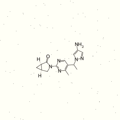 Cc1nc(N2C[C@H]3C[C@H]3C2=O)ncc1C(C)n1cc(N)cn1